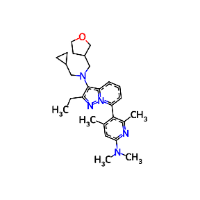 CCc1nn2c(-c3c(C)cc(N(C)C)nc3C)cccc2c1N(CC1CC1)CC1CCOC1